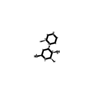 C[C@@H]1O[C@@H](O)C[C@H](N2CCOC[C@H]2C)[C@@H]1O